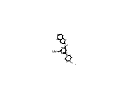 CNc1nc(Nc2nc3ccccc3o2)nc(N2CCN(C)CC2)n1